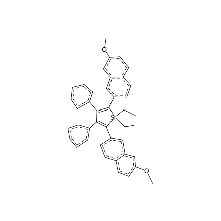 CC[Si]1(CC)C(c2ccc3ccc(OC)cc3c2)=C(c2ccccc2)C(c2ccccc2)=C1c1ccc2ccc(OC)cc2c1